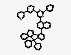 c1ccc(-c2nc(-c3cccc(-c4cccnc4)c3)cc(-c3ccc(-c4cccc5c4-c4ccc6ccccc6c4C5(c4ccccc4)c4ccccc4)c4ccccc34)n2)cc1